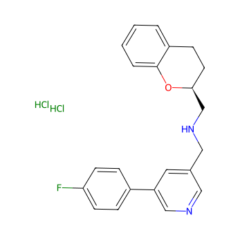 Cl.Cl.Fc1ccc(-c2cncc(CNC[C@@H]3CCc4ccccc4O3)c2)cc1